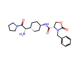 N[C@H](C(=O)N1CCCC1)[C@H]1CC[C@H](NC(=O)[C@@H]2COC(=O)N2Cc2ccccc2)CC1